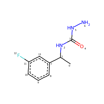 CC(NC(=O)NN)c1cccc(F)c1